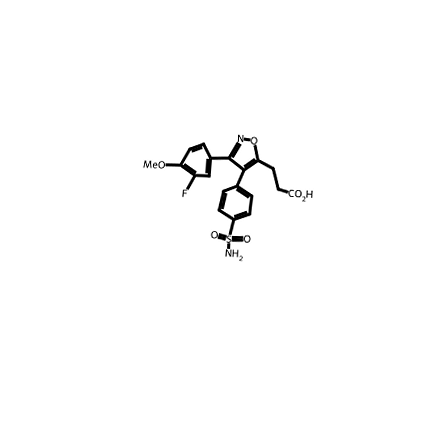 COc1ccc(-c2noc(CCC(=O)O)c2-c2ccc(S(N)(=O)=O)cc2)cc1F